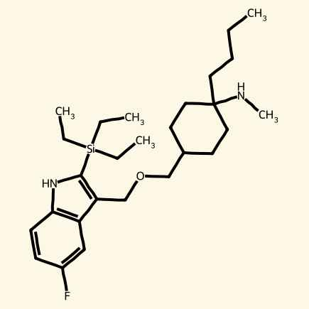 CCCCC1(NC)CCC(COCc2c([Si](CC)(CC)CC)[nH]c3ccc(F)cc23)CC1